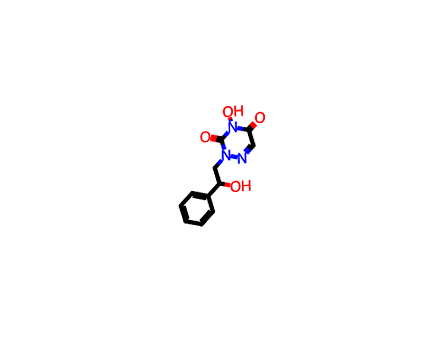 O=c1cnn(CC(O)c2ccccc2)c(=O)n1O